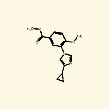 COC(=O)c1ccc(OC)c(-n2cnc(C3CC3)c2)c1